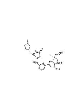 CN1CC[C@@H](Cn2nc(Cl)cc2Nc2nccc(-c3cc(C#N)c4c(c3)[C@@](C)(CO)CN4)n2)C1